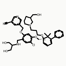 CC1(C)C(c2ccccc2)=CC=C[C@@]1(COc1cc(OCc2cncc(C#N)c2)c(CNC(CO)CO)cc1Cl)OCCCN1CCCC(CO)C1